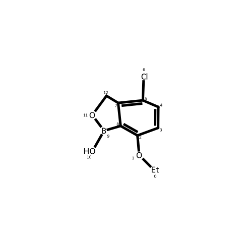 CCOc1ccc(Cl)c2c1B(O)OC2